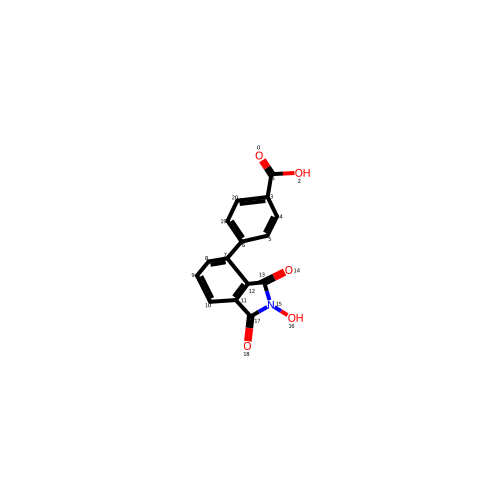 O=C(O)c1ccc(-c2cccc3c2C(=O)N(O)C3=O)cc1